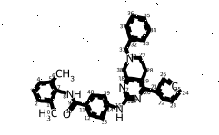 Cc1cccc(C)c1NC(=O)c1ccc(Nc2nc3c(c(-c4ccccc4)n2)CCN(Cc2ccccc2)C3)cc1